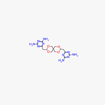 Nc1nc(N)nc(CC2OCC3(CO2)COC(Cc2nc(N)nc(N)n2)OC3)n1